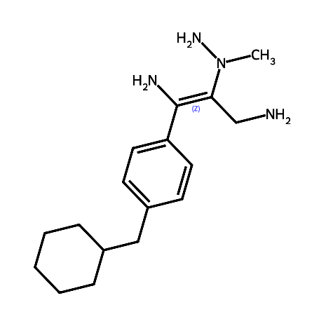 CN(N)/C(CN)=C(\N)c1ccc(CC2CCCCC2)cc1